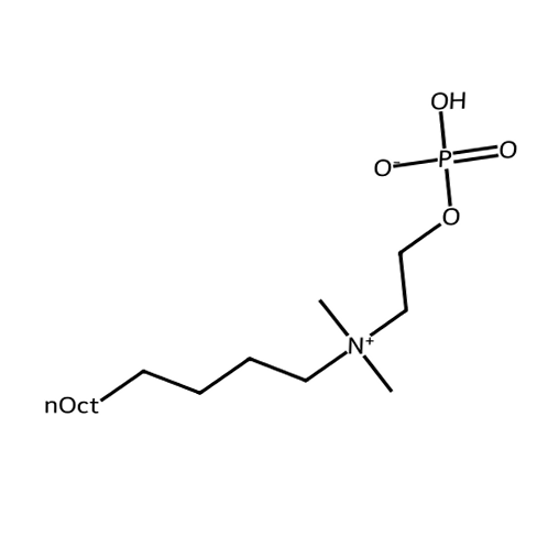 CCCCCCCCCCCC[N+](C)(C)CCOP(=O)([O-])O